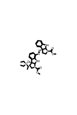 CC[Si](CC)(CC)O[C@]12CCN(C(=O)OC)C1Nc1c(/N=N/[C@]34CCN(C(=O)OC)C3Nc3ccccc34)cccc12